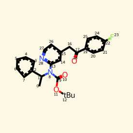 CC(c1ccccc1)N(C(=O)OC(C)(C)C)c1cc(CC(=O)c2ccc(F)cc2)ccn1